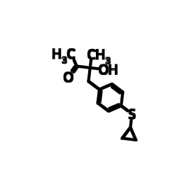 CC(=O)C(C)(O)Cc1ccc(SC2CC2)cc1